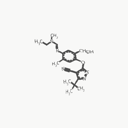 CCN(C)/C=N/c1cc(C)c(Oc2snc(C(C)(C)C)c2C#N)cc1C.Cl